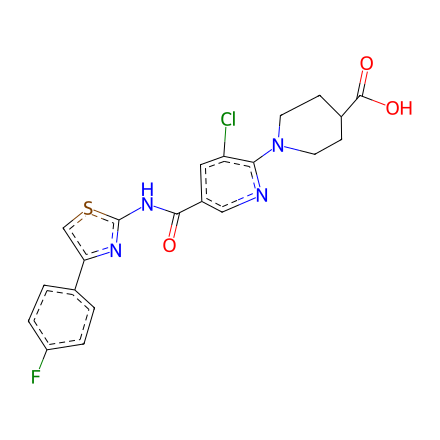 O=C(Nc1nc(-c2ccc(F)cc2)cs1)c1cnc(N2CCC(C(=O)O)CC2)c(Cl)c1